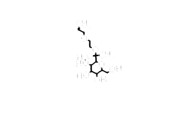 C=CCOCCOC(C)(C)C1OC(CO)C(O)C(O)C1O